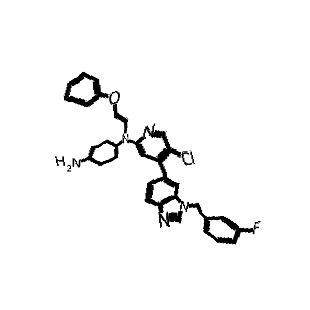 NC1CCC(N(CCOc2ccccc2)c2cc(-c3ccc4ncn(Cc5cccc(F)c5)c4c3)c(Cl)cn2)CC1